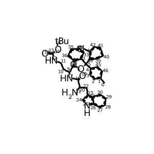 Cc1ccc(C(OC(=O)C(CCNC(=O)OC(C)(C)C)NC(=O)C(N)Cc2c[nH]c3ccccc23)(c2ccccc2)c2ccccc2Cl)cc1